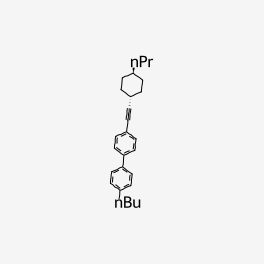 CCCCc1ccc(-c2ccc(C#C[C@H]3CC[C@H](CCC)CC3)cc2)cc1